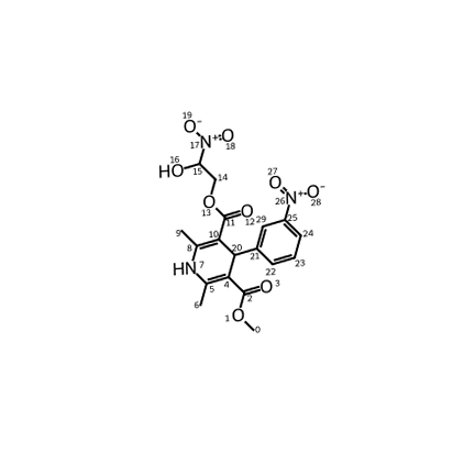 COC(=O)C1=C(C)NC(C)=C(C(=O)OCC(O)[N+](=O)[O-])C1c1cccc([N+](=O)[O-])c1